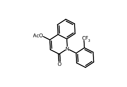 CC(=O)Oc1cc(=O)n(-c2ccccc2C(F)(F)F)c2ccccc12